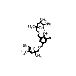 CC(CC(C)(C)C)CC(C)(C)CSCc1cc(CSCC(C)(C)CC(C)CC(C)(C)C)c(O)c(C(C)(C)C)c1